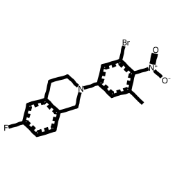 Cc1cc(N2CCc3cc(F)ccc3C2)cc(Br)c1[N+](=O)[O-]